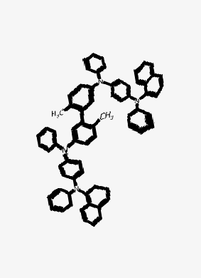 Cc1ccc(N(c2ccccc2)c2ccc(N(c3ccccc3)c3cccc4ccccc34)cc2)cc1-c1cc(N(c2ccccc2)c2ccc(N(C3=c4ccccc4=CCC3)C3C=CC=CC3)cc2)ccc1C